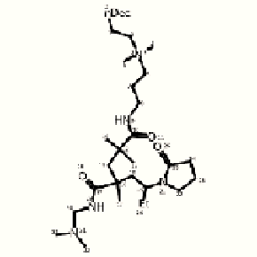 CCCCCCCCCCCC[N+](C)(C)CCCNC(=O)C(C)(C)CC(C)(CC(CC)N1CCCC1=O)C(=O)NCN(C)C